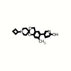 Cc1cc2c(cc1-c1ccc(O)nc1)COC1(CCN(C3CCC3)CC1)O2